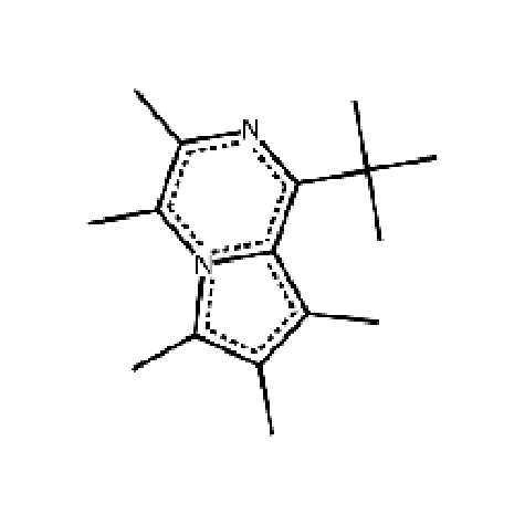 Cc1nc(C(C)(C)C)c2c(C)c(C)c(C)n2c1C